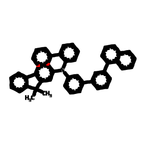 CC1(C)c2ccccc2-c2ccc(N(c3cccc(-c4cccc(-c5cccc6ccccc56)c4)c3)c3ccccc3-c3ccccc3)cc21